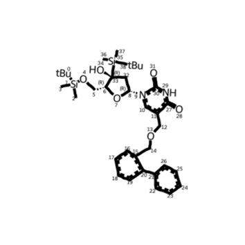 CC(C)(C)[Si](C)(C)OC[C@H]1O[C@@H](n2cc(COCc3ccccc3-c3ccccc3)c(=O)[nH]c2=O)C[C@@]1(O)[Si](C)(C)C(C)(C)C